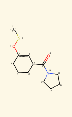 O=C(C1C=C(OSC(F)(F)F)CCC1)N1CCCC1